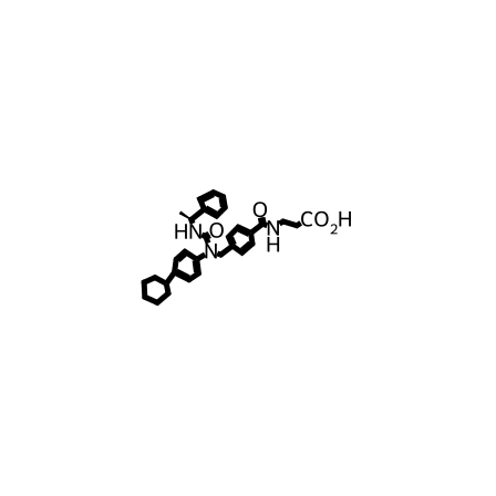 C[C@H](NC(=O)N(Cc1ccc(C(=O)NCCC(=O)O)cc1)c1ccc(C2CCCCC2)cc1)c1ccccc1